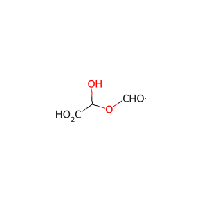 O=[C]OC(O)C(=O)O